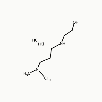 CN(C)CCCNCCO.Cl.Cl